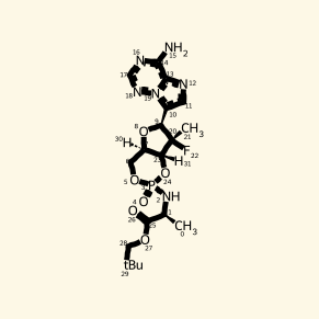 C[C@H](NP1(=O)OC[C@H]2O[C@@H](c3cnc4c(N)ncnn34)[C@](C)(F)[C@@H]2O1)C(=O)OCC(C)(C)C